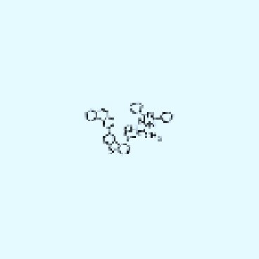 C=C/C(=C\C=C(/C)c1nc(-c2ccccc2)nc(-c2ccccc2)n1)c1cccc2sc3ccc(-c4ccc5ccc6ccccc6c5c4)cc3c12